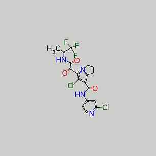 CC(NC(=O)C(=O)c1c(Cl)c(C(=O)Nc2ccnc(Cl)c2)c2n1CCC2)C(F)(F)F